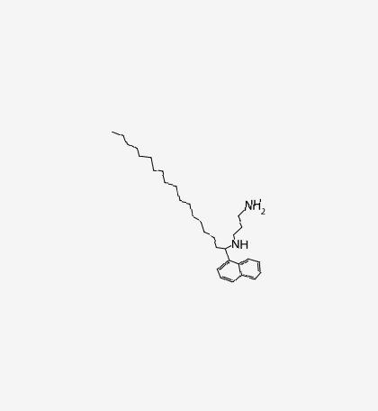 CCCCCCCCCCCCCCCCCC(NCCCN)c1cccc2ccccc12